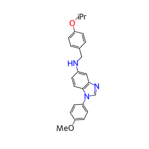 COc1ccc(-n2cnc3cc(NCc4ccc(OC(C)C)cc4)ccc32)cc1